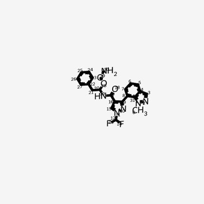 Cn1ncc2cccc(-c3nn(C(F)F)cc3C(=O)NC(Cc3ccccc3)OON)c21